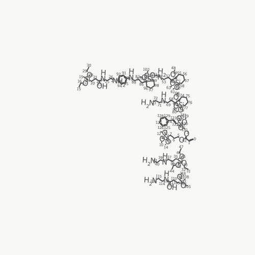 C=CC(=O)OCCC[Si](OC)(OC)OC.CCO[Si](C)(CCC(O)NCCN)OCC.CCO[Si](CCCNCCN)(OCC)OCC.COC1(CCCN)CCCC[Si]1(OC)OC.COC1(CCCNCCN)CCCC[Si]1(OC)OC.COC1(CCCNc2ccccc2)CCCC[Si]1(OC)OC.CO[Si](C)(CCC(O)NCCN)OC.CO[Si](C=Cc1ccccc1)(OC)OC